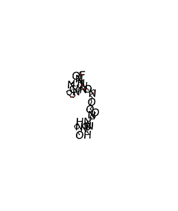 C=C(F)C(=O)N1CCN(c2nc(OC[C@@H]3CCCN3CCCOCCOCCn3cc(CNc4cc(N5CCCC[C@H]5CCO)nc5c(CC)cnn45)ccc3=O)nc3c2CCN(c2cccc4cccc(Cl)c24)C3)C[C@@H]1CC#N